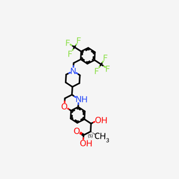 C[C@H](C(=O)O)C(O)c1ccc2c(c1)NC(C1CCN(Cc3cc(C(F)(F)F)ccc3C(F)(F)F)CC1)CO2